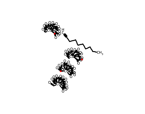 C#CCCCCCCCC.O=[CH][Co]([CH]=O)([CH]=O)([CH]=O)([CH]=O)([CH]=O)([CH]=O)([CH]=O)([CH]=O)([CH]=O)([CH]=O)[CH]=O.O=[CH][Co]([CH]=O)([CH]=O)([CH]=O)([CH]=O)([CH]=O)([CH]=O)([CH]=O)([CH]=O)([CH]=O)([CH]=O)[CH]=O.O=[CH][Co]([CH]=O)([CH]=O)([CH]=O)([CH]=O)([CH]=O)([CH]=O)([CH]=O)([CH]=O)([CH]=O)([CH]=O)[CH]=O.O=[CH][Co]([CH]=O)([CH]=O)([CH]=O)([CH]=O)([CH]=O)([CH]=O)([CH]=O)([CH]=O)([CH]=O)([CH]=O)[CH]=O